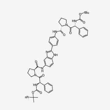 CCCC(C)(C)OC(=O)N[C@@H](C(=O)N1CCC[C@H]1C(=O)Nc1ccc2[nH]c(-c3ccc(NC(=O)[C@@H]4CCCN4C(=O)[C@H](NC(=O)OC(C)(C)C)c4ccccc4)cc3)nc2c1)c1ccccc1